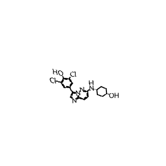 Oc1c(Cl)cc(-c2cnc3ccc(N[C@H]4CC[C@H](O)CC4)nn23)cc1Cl